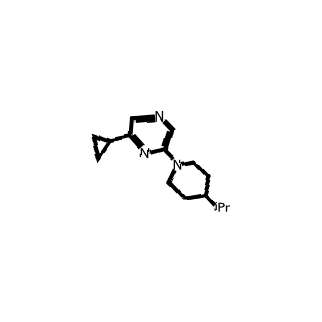 CC(C)C1CCN(c2cncc(C3CC3)n2)CC1